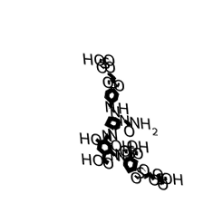 NC(=O)Nc1cc(N=Nc2c(O)cc(C(=O)O)c(N=Nc3ccc(S(=O)(=O)CCOS(=O)(=O)O)cc3S(=O)(=O)O)c2O)ccc1N=Nc1ccc(S(=O)(=O)CCOS(=O)(=O)O)cc1